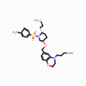 COCCCN1CCOc2ccc(CO[C@@H]3CC[C@@H](CCC(=O)O)N(S(=O)(=O)c4ccc(C)cc4)C3)cc21